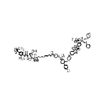 Cc1ncsc1-c1ccc([C@H](C)NC(=O)[C@@H]2C[C@@H](O)CN2C(=O)[C@@H](NC(=O)CCCCCCCCC(=O)N2CCN(CCC3(C)CCC(c4ccc(Cl)cc4)=C(CN4CCN(c5ccc(C(=O)NS(=O)(=O)c6ccc(N[C@H](CCN7CCOCC7)CSc7ccccc7)c(S(=O)(=O)C(F)(F)F)c6)cc5)CC4)C3)CC2)C(C)(C)C)cc1